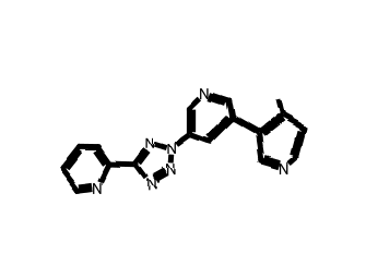 Cc1ccncc1-c1cncc(-n2nnc(-c3ccccn3)n2)c1